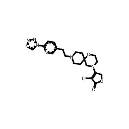 O=C1OCC(N2CCOC3(CCN(CCc4ccc(-n5cnnn5)nc4)CC3)C2)=C1Cl